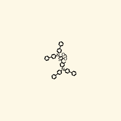 Cc1cc(N(c2ccc(-c3ccccc3)cc2)c2ccc(-c3ccccc3)cc2)ccc1-c1sc(N(c2ccc(-c3ccccc3)cc2)c2ccc(-c3ccccc3)cc2)c2c1OCCO2